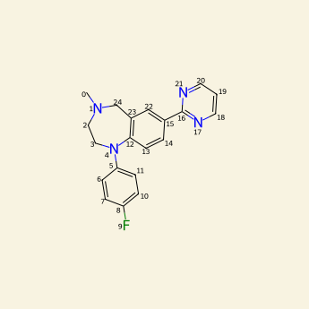 CN1CCN(c2ccc(F)cc2)c2ccc(-c3ncccn3)cc2C1